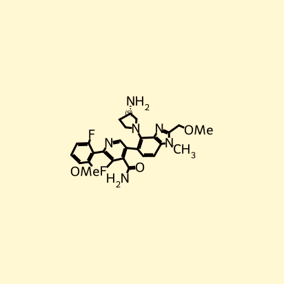 COCc1nc2c(N3CC[C@H](N)C3)c(-c3cnc(-c4c(F)cccc4OC)c(F)c3C(N)=O)ccc2n1C